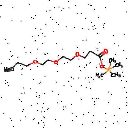 COCCOCCOCCOCCC(=O)OP(C)(C)(C)C